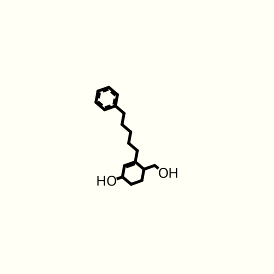 OCC1CCC(O)C=C1CCCCCc1ccccc1